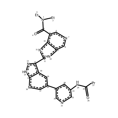 CCN(CC)C(=O)c1cncc2[nH]c(-c3n[nH]c4ncc(-c5cncc(NC(=O)C(C)C)c5)cc34)nc12